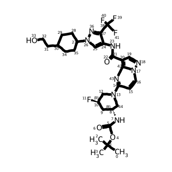 CC(C)(C)OC(=O)N[C@@H]1C[C@@H](F)CN(c2ccn3ncc(C(=O)Nc4cn(C5CCC(CCO)CC5)nc4C(F)(F)F)c3n2)C1